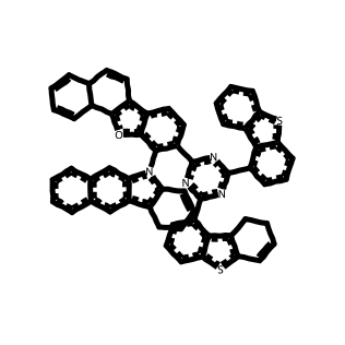 C1=CC2C=Cc3c(oc4c(-n5c6c(c7cc8ccccc8cc75)CCC=C6)c(-c5nc(-c6cccc7sc8c(c67)CCC=C8)nc(-c6cccc7sc8ccccc8c67)n5)ccc34)C2C=C1